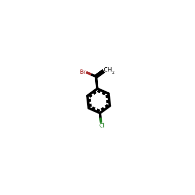 C=C(Br)c1ccc(Cl)cc1